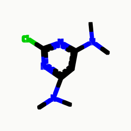 CN(C)c1cc(N(C)C)nc(Cl)n1